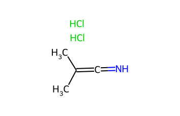 CC(C)=C=N.Cl.Cl